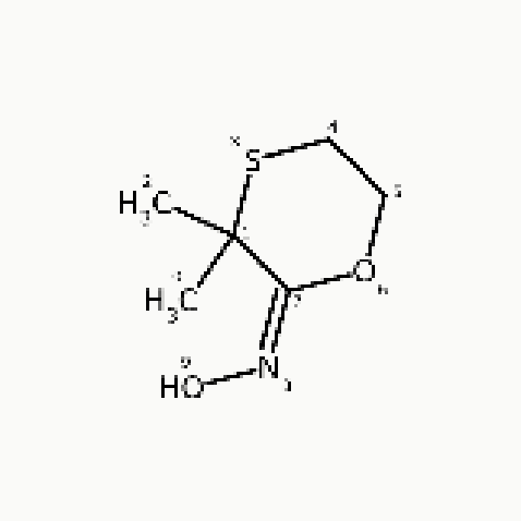 CC1(C)SCCOC1=NO